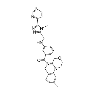 Cc1ccc(CNC(=O)c2cccc(NCc3nnc(-c4ccncn4)n3C)c2)c(N2CCOCC2)c1